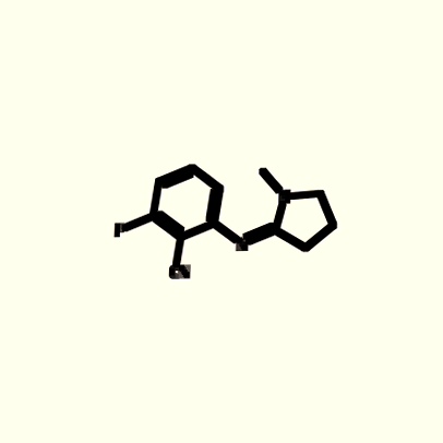 CN1CCCC1=Nc1cccc(F)c1C#N